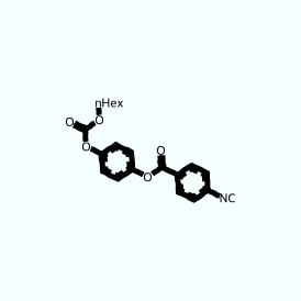 [C-]#[N+]c1ccc(C(=O)Oc2ccc(OC(=O)OCCCCCC)cc2)cc1